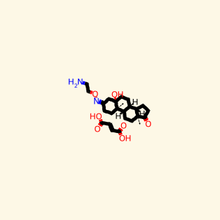 C[C@]12CC[C@H]3[C@@H](CC[C@@]4(O)CC(=NOCCN)CC[C@]34C)[C@@H]1CCC2=O.O=C(O)/C=C/C(=O)O